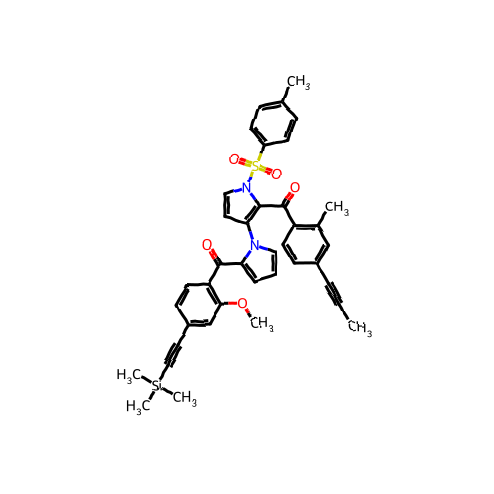 CC#Cc1ccc(C(=O)c2c(-n3cccc3C(=O)c3ccc(C#C[Si](C)(C)C)cc3OC)ccn2S(=O)(=O)c2ccc(C)cc2)c(C)c1